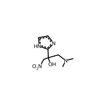 CN(C)CC(O)(C[N+](=O)[O-])c1ncc[nH]1